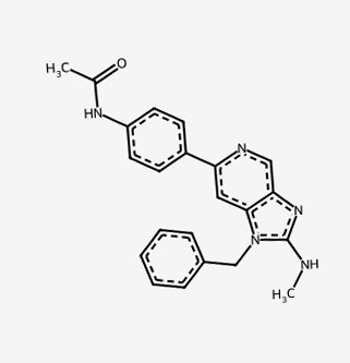 CNc1nc2cnc(-c3ccc(NC(C)=O)cc3)cc2n1Cc1ccccc1